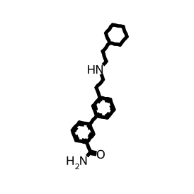 NC(=O)c1cccc(-c2cccc(CCNCCC3CCCCC3)c2)c1